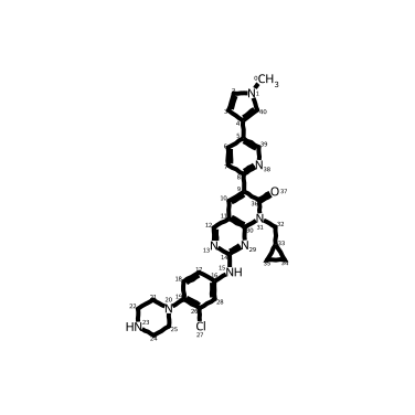 Cn1ccc(-c2ccc(-c3cc4cnc(Nc5ccc(N6CCNCC6)c(Cl)c5)nc4n(CC4CC4)c3=O)nc2)c1